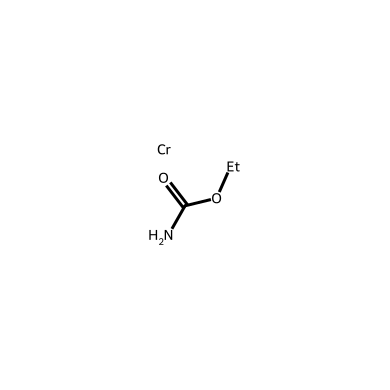 CCOC(N)=O.[Cr]